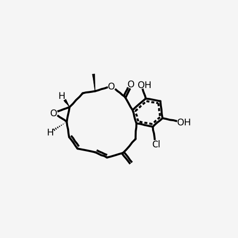 C=C1/C=C/C=C\[C@H]2O[C@@H]2C[C@@H](C)OC(=O)c2c(O)cc(O)c(Cl)c2C1